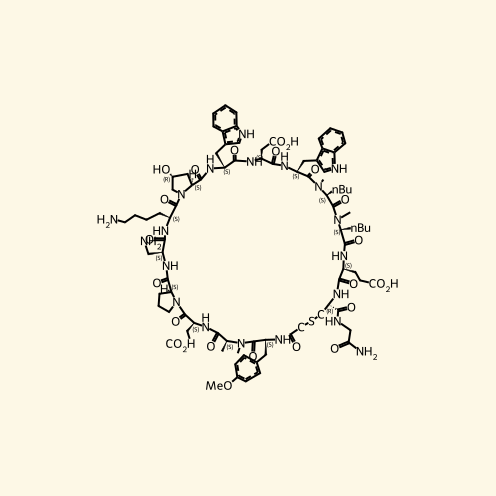 CCCC[C@H]1C(=O)N(C)[C@@H](CCCC)C(=O)N[C@@H](CCC(=O)O)C(=O)N[C@H](C(=O)NCC(N)=O)CSCC(=O)N[C@@H](Cc2ccc(OC)cc2)C(=O)N(C)[C@@H](C)C(=O)N[C@@H](CC(=O)O)C(=O)N2CCC[C@H]2C(=O)N[C@@H](CN)C(=O)N[C@@H](CCCCN)C(=O)N2C[C@H](O)C[C@H]2C(=O)N[C@@H](Cc2c[nH]c3ccccc23)C(=O)N[C@@H](CC(=O)O)C(=O)N[C@@H](Cc2c[nH]c3ccccc23)C(=O)N1C